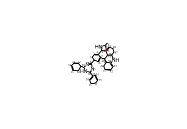 CC1CC(C2=CCC(C3=NC(C4C=CC=CC4)NC(C4=CCCC=C4)=N3)C=C2C2C3CC=CC=C3NC3CCC=CC32)N1